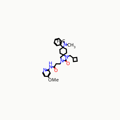 COc1ccnc(NC(=O)CCN2CC3(CCC(c4ccccc4)(N(C)C)CC3)N(CC3CCC3)C2=O)c1